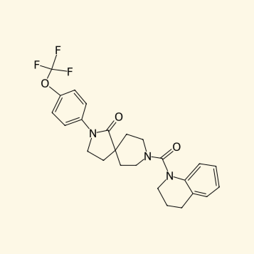 O=C(N1CCC2(CC1)CCN(c1ccc(OC(F)(F)F)cc1)C2=O)N1CCCc2ccccc21